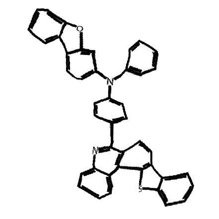 c1ccc(N(c2ccc(-c3nc4ccccc4c4c3ccc3c5ccccc5sc34)cc2)c2ccc3c(c2)oc2ccccc23)cc1